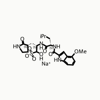 COc1cccc2[nH]c(C(=O)N[C@@H](CC(C)C)C(=O)N[C@@H](C[C@@H]3CCNC3=O)C(O)S(=O)(=O)[O-])cc12.[Na+]